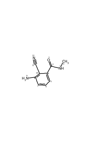 CNC(=O)c1cccc(N)c1C#N